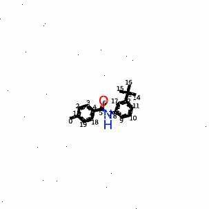 Cc1ccc(C(=O)Nc2cccc(C(C)(C)C)c2)cc1